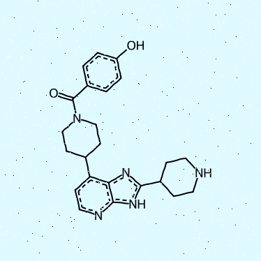 O=C(c1ccc(O)cc1)N1CCC(c2ccnc3[nH]c(C4CCNCC4)nc23)CC1